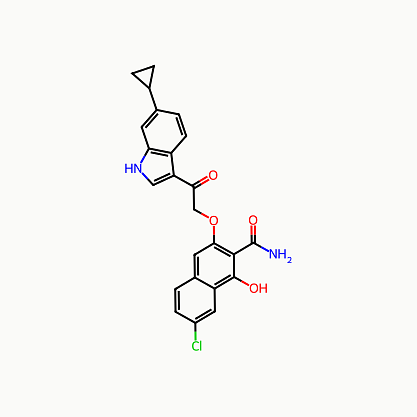 NC(=O)c1c(OCC(=O)c2c[nH]c3cc(C4CC4)ccc23)cc2ccc(Cl)cc2c1O